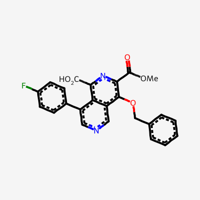 COC(=O)c1nc(C(=O)O)c2c(-c3ccc(F)cc3)cncc2c1OCc1ccccc1